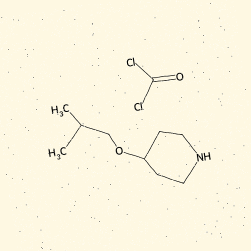 CC(C)COC1CCNCC1.O=C(Cl)Cl